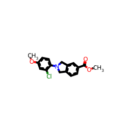 COC(=O)c1ccc2c(c1)CN(c1ccc(OC)cc1Cl)C2